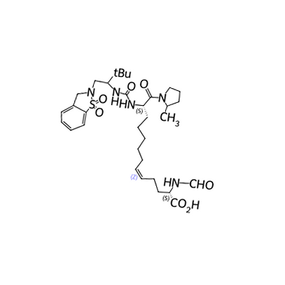 CC1CCCN1C(=O)[C@H](CCCCC/C=C\CC[C@H](NC=O)C(=O)O)NC(=O)NC(CN1Cc2ccccc2S1(=O)=O)C(C)(C)C